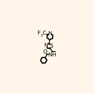 CC(NC(=O)c1ccccc1)c1cnc(-c2ccnc(C(F)(F)F)c2)s1